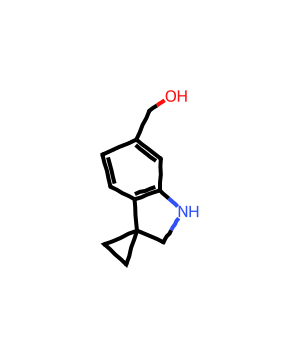 OCc1ccc2c(c1)NCC21CC1